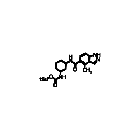 Cc1c(C(=O)NC2CCCC(NC(=O)OC(C)(C)C)C2)ccc2[nH]ncc12